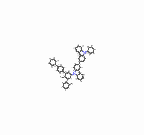 Cc1ccccc1-c1cc(-n2c3ccccc3c3cc(-c4ccc5c(c4)c4ccccc4n5-c4ccccc4)ccc32)cc(-c2ccc(-c3ccccc3)cc2)c1C